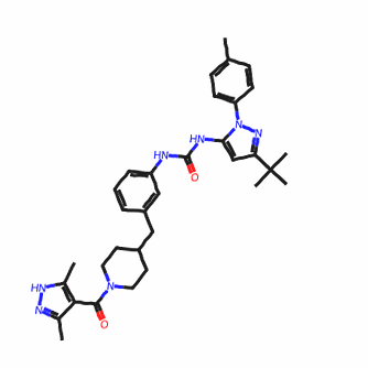 Cc1ccc(-n2nc(C(C)(C)C)cc2NC(=O)Nc2cccc(CC3CCN(C(=O)c4c(C)n[nH]c4C)CC3)c2)cc1